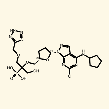 O=P(O)(O)C(CO)(COCc1nn[nH]n1)OC[C@@H]1CC[C@H](n2ncc3c(NC4CCCC4)nc(Cl)nc32)O1